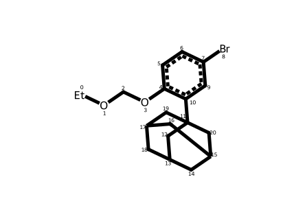 CCOCOc1ccc(Br)cc1C12CC3CC(CC(C3)C1)C2